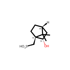 CC1(C)[C@@H]2CC[C@@]1(CS(=O)(=O)O)[C@@H](O)C2